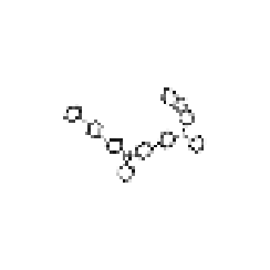 c1ccc(-c2ccc(-c3ccc(N(c4ccccc4)c4ccc(-c5ccc(N(c6ccccc6)c6ccc7oc8ccccc8c7c6)cc5)cc4)cc3)cc2)cc1